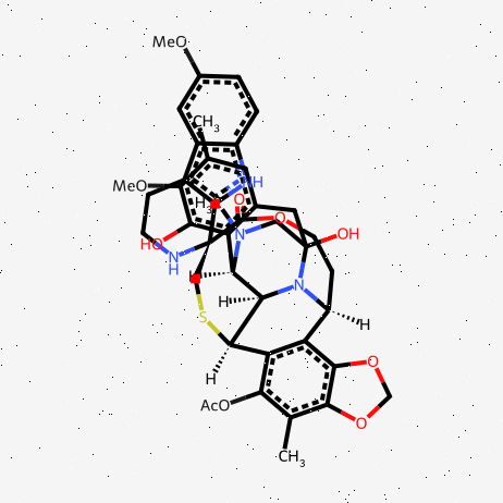 COc1ccc2[nH]c3c(c2c1)CCN[C@]31CS[C@@H]2c3c(OC(C)=O)c(C)c4c(c3[C@H](CCOC1=O)N1[C@@H]2[C@H]2c3c(cc(C)c(OC)c3O)CC1(O)CN2C)OCO4